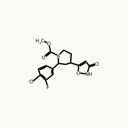 COC(=O)N1CCC(c2cc(=O)[nH]o2)CC1c1ccc(Cl)c(F)c1